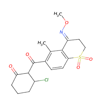 CON=C1CCS(=O)(=O)c2ccc(C(=O)C3C(=O)CCCC3Cl)c(C)c21